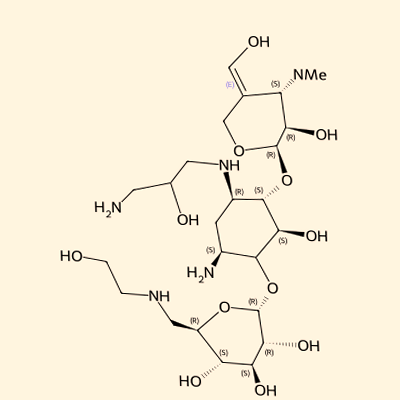 CN[C@H]1/C(=C\O)CO[C@H](O[C@H]2[C@H](NCC(O)CN)C[C@H](N)C(O[C@H]3O[C@H](CNCCO)[C@@H](O)[C@H](O)[C@H]3O)[C@@H]2O)[C@@H]1O